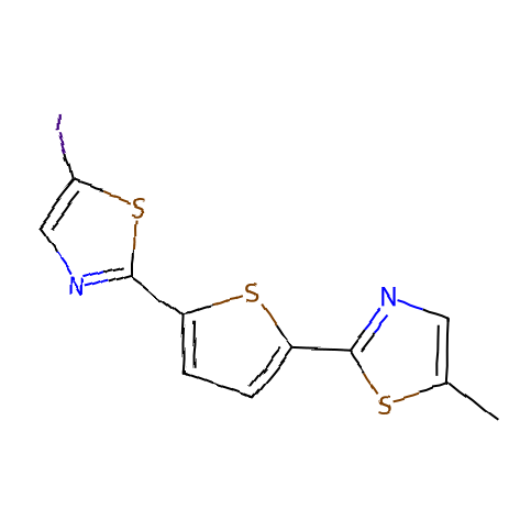 Cc1cnc(-c2ccc(-c3ncc(I)s3)s2)s1